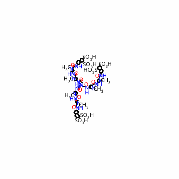 Cn1cc(NC(=O)CN(CC(=O)Nc2cc(C(=O)Nc3cc(C(=O)Nc4ccc5cc(S(=O)(=O)O)cc(S(=O)(=O)O)c5c4)n(C)c3)n(C)c2)CC(=O)Nc2cc(C(=O)Nc3cc(C(=O)Nc4ccc5cc(S(=O)(=O)O)cc(S(=O)(=O)O)c5c4)n(C)c3)n(C)c2)cc1C(=O)Nc1cc(C(=O)Nc2ccc3cc(S(=O)(=O)O)cc(S(=O)(=O)O)c3c2)n(C)c1